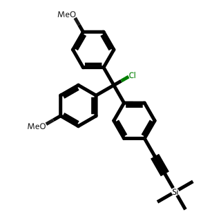 COc1ccc(C(Cl)(c2ccc(C#C[Si](C)(C)C)cc2)c2ccc(OC)cc2)cc1